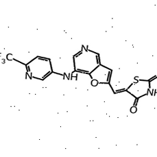 O=C1NC(=O)/C(=C/c2cc3cncc(Nc4ccc(C(F)(F)F)nc4)c3o2)S1